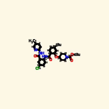 Cc1ccc(NC(=O)c2cc(Cl)ccc2NC(=O)c2ccc(C(C)(C)C)cc2OC2CCN(C(=O)OC(C)(C)C)CC2)nc1